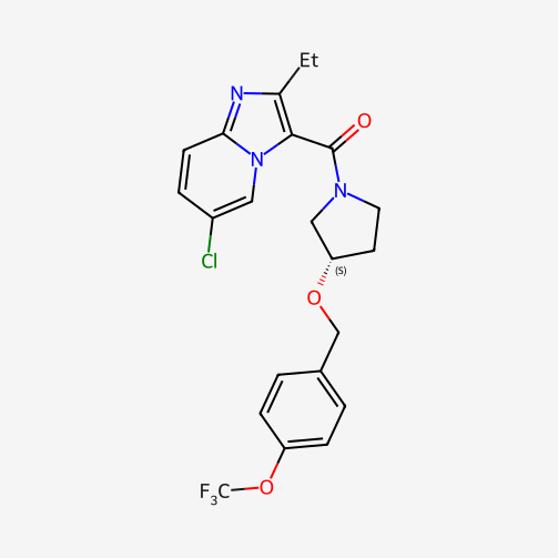 CCc1nc2ccc(Cl)cn2c1C(=O)N1CC[C@H](OCc2ccc(OC(F)(F)F)cc2)C1